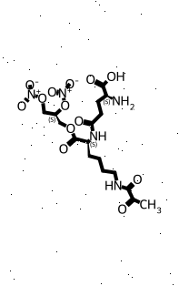 CC(=O)C(=O)NCCCC[C@H](NC(=O)CC[C@H](N)C(=O)O)C(=O)OC[C@@H](CO[N+](=O)[O-])O[N+](=O)[O-]